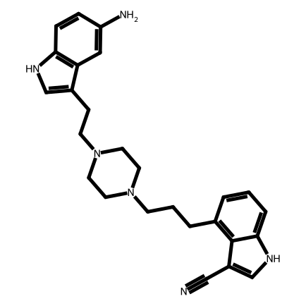 N#Cc1c[nH]c2cccc(CCCN3CCN(CCc4c[nH]c5ccc(N)cc45)CC3)c12